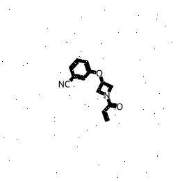 C=CC(=O)N1CC(Oc2cccc(C#N)c2)C1